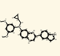 COc1cc(OC)cc(N(CC2CC2)c2ccc3ncc(-c4ccc5[nH]ccc5c4)nc3c2)c1